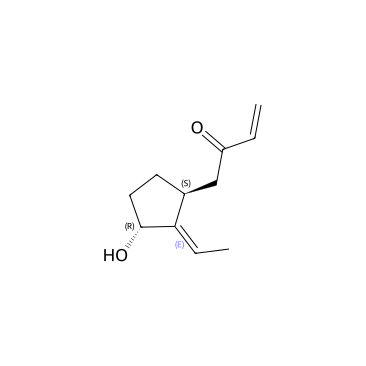 C=CC(=O)C[C@@H]1CC[C@@H](O)/C1=C/C